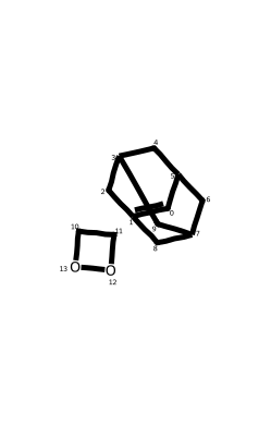 C1=C2CC3CC1CC(C2)C3.C1COO1